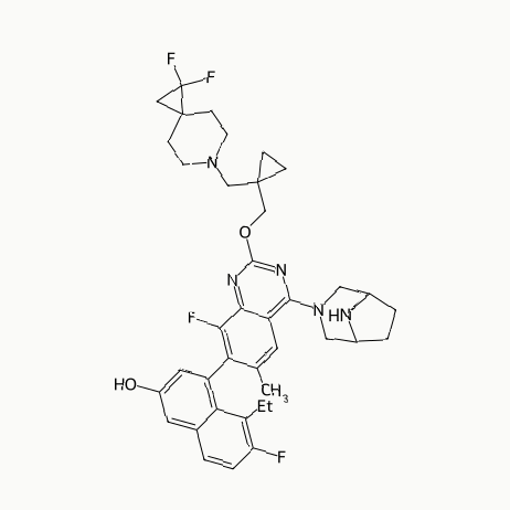 CCc1c(F)ccc2cc(O)cc(-c3c(C)cc4c(N5CC6CCC(C5)N6)nc(OCC5(CN6CCC7(CC6)CC7(F)F)CC5)nc4c3F)c12